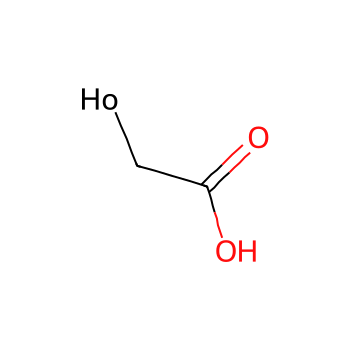 O=C(O)[CH2][Ho]